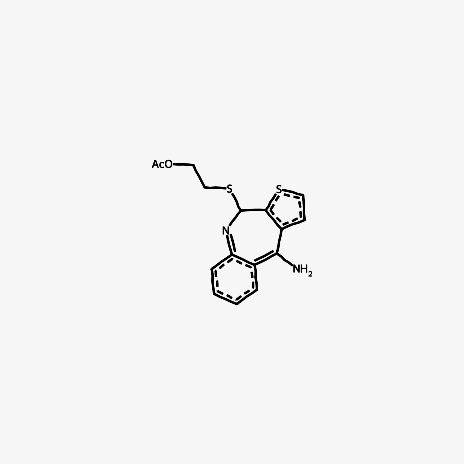 CC(=O)OCCSC1N=c2ccccc2=C(N)c2ccsc21